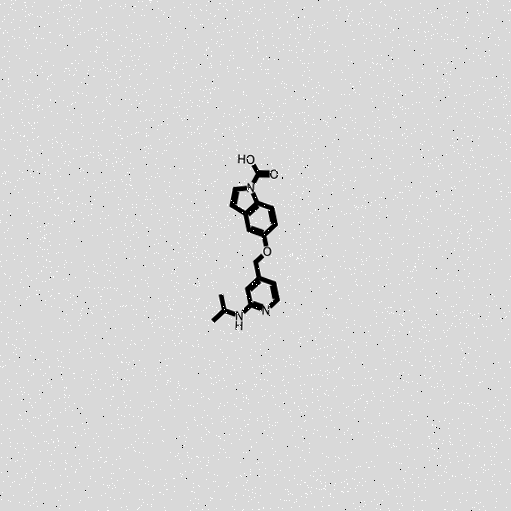 CC(C)Nc1cc(COc2ccc3c(ccn3C(=O)O)c2)ccn1